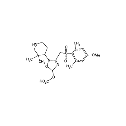 COc1cc(C)c(S(=O)(=O)CC2=NC(OC(=O)O)ON2C2CCNCC2(C)C)c(C)c1